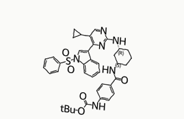 CC(C)(C)OC(=O)Nc1ccc(C(=O)N[C@H]2CCC[C@@H](Nc3ncc(C4CC4)c(-c4cn(S(=O)(=O)c5ccccc5)c5ccccc45)n3)C2)cc1